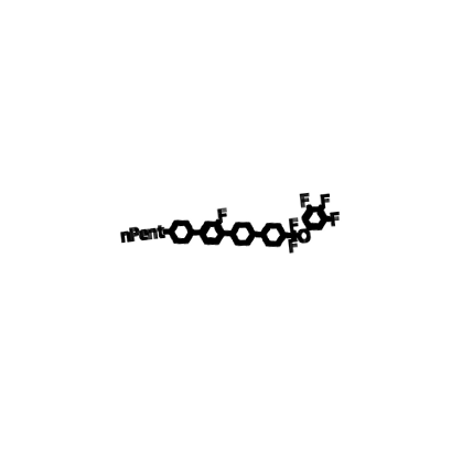 CCCCCC1CCC(c2ccc(C3CCC(C4CCC(C(F)(F)Oc5cc(F)c(F)c(F)c5)CC4)CC3)c(F)c2)CC1